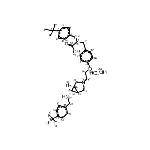 CC(C)(C)c1ccc(O[C@@H](Cc2ccc(OCCN3CC4[C@H](C3)[C@H]4NCc3ccc(C(F)(F)F)cc3)cc2)C(=O)O)cc1.Cl.Cl